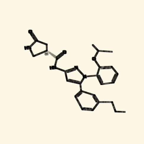 CCCc1cccc(-c2cc(NC(=O)[C@@H]3CNC(=O)C3)nn2-c2ccccc2OC(C)C)c1